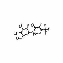 COc1c(F)c(-n2ncc(C(F)(F)F)c(C)c2=O)cc(C=O)c1Cl